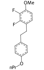 CCCOc1ccc(CCc2ccc(OC)c(F)c2F)cc1